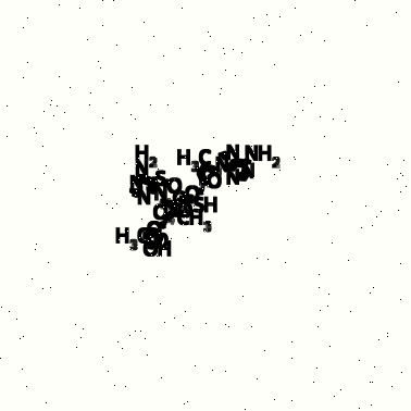 CC1C[C@@H](COP(=O)(S)O[C@@H]2C(C)[C@@H](COP(C)(=O)O)O[C@H]2n2c(=O)sc3c(N)ncnc32)O[C@H]1n1cnc2c(N)ncnc21